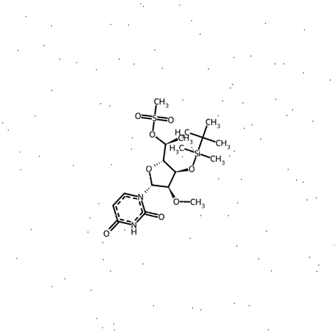 CO[C@@H]1[C@H](O[Si](C)(C)C(C)(C)C)[C@@H]([C@H](C)OS(C)(=O)=O)O[C@H]1n1ccc(=O)[nH]c1=O